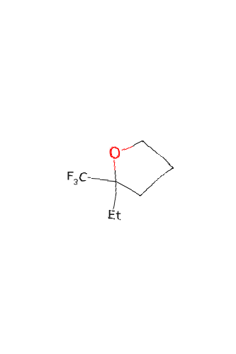 CCC1(C(F)(F)F)CCCO1